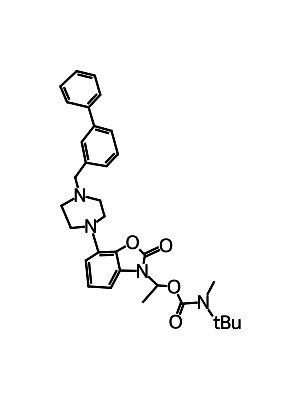 CC(OC(=O)N(C)C(C)(C)C)n1c(=O)oc2c(N3CCN(Cc4cccc(-c5ccccc5)c4)CC3)cccc21